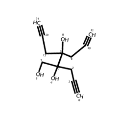 C#CCC(O)(CO)C(O)(CC#C)CC#C